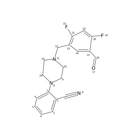 N#Cc1ccccc1N1CCN(Cc2cc(C=O)c(F)cc2F)CC1